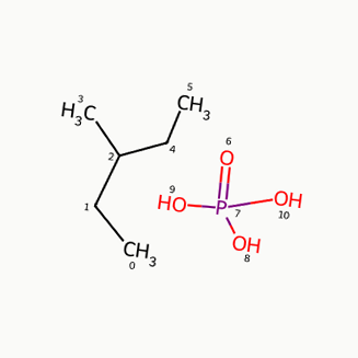 CCC(C)CC.O=P(O)(O)O